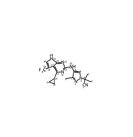 Cc1nn(C(C)(C)C#N)cc1Nc1nc(C2CC2)c2c(C(F)(F)F)c[nH]c2n1